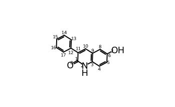 O=c1[nH]c2ccc(O)cc2cc1-c1ccccc1